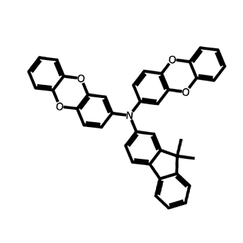 CC1(C)c2ccccc2-c2ccc(N(c3ccc4c(c3)Oc3ccccc3O4)c3ccc4c(c3)Oc3ccccc3O4)cc21